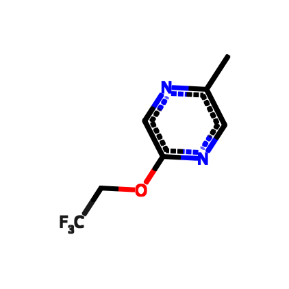 Cc1cnc(OCC(F)(F)F)cn1